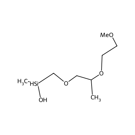 COCCOC(C)COC[SiH](C)O